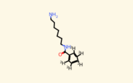 [2H]c1c([2H])c([2H])c(C(=O)NCCCCCCCN)c([2H])c1[2H]